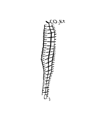 C=C(C(=O)OCC)C(F)(F)C(F)(F)C(F)(F)C(F)(F)C(F)(F)C(F)(F)C(F)(F)C(F)(F)C(F)(F)C(F)(F)C(F)(F)C(F)(F)C(F)(F)C(F)(F)C(F)(F)C(F)(F)C(F)(F)C(F)(F)C(F)(F)C(F)(F)F